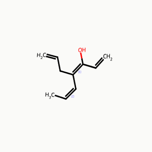 C=CCC(/C=C\C)=C(\O)C=C